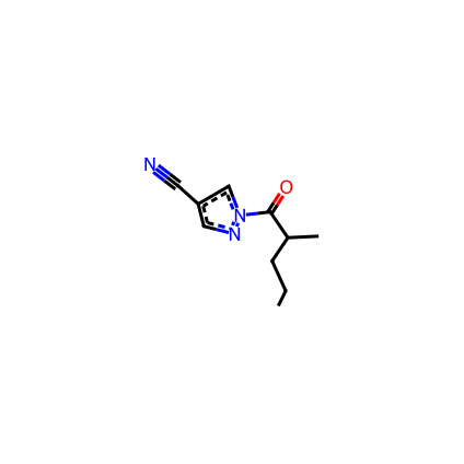 CCCC(C)C(=O)n1cc(C#N)cn1